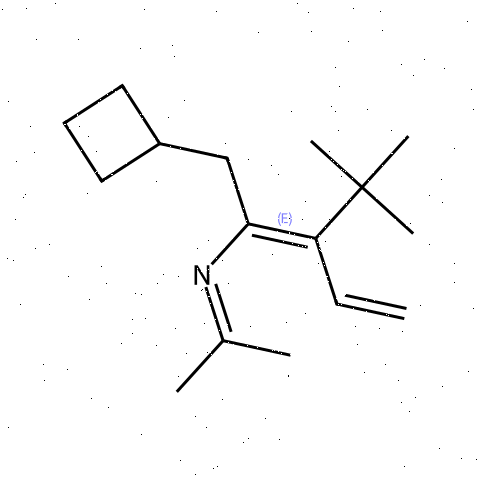 C=C/C(=C(/CC1CCC1)N=C(C)C)C(C)(C)C